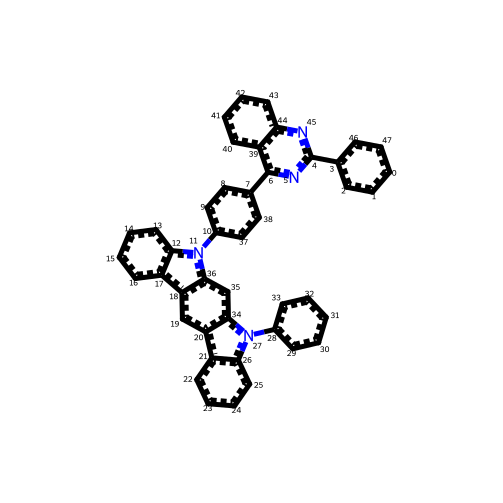 c1ccc(-c2nc(-c3ccc(-n4c5ccccc5c5cc6c7ccccc7n(-c7ccccc7)c6cc54)cc3)c3ccccc3n2)cc1